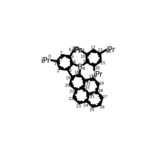 CC(C)c1cc2c(c(C(C)C)c1)B(c1c(C(C)C)cc(C(C)C)cc1C(C)C)c1c-2cc2ccc3cccc4ccc1c2c34